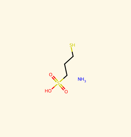 N.O=S(=O)(O)CCCS